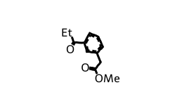 CCC(=O)c1cccc(CC(=O)OC)c1